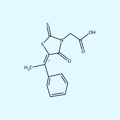 C/C(=C1\SC(=S)N(CC(=O)O)C1=O)c1ccccc1